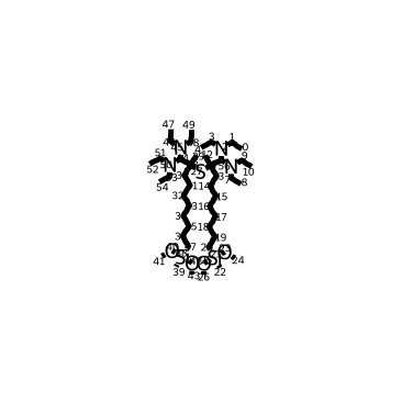 CCN(CC)C(N(CC)CC)C(C)(CCCCCCCC[Si](C)(OC)OC)SC(C)(CCCCCCCC[Si](C)(OC)OC)C(N(CC)CC)N(CC)CC